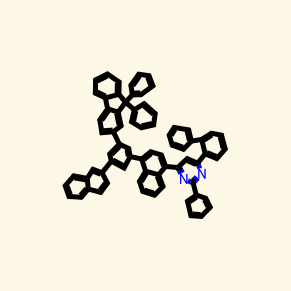 c1ccc(-c2nc(-c3ccccc3-c3ccccc3)cc(-c3ccc(-c4cc(-c5ccc6c(c5)C(c5ccccc5)(c5ccccc5)c5ccccc5-6)cc(-c5ccc6ccccc6c5)c4)c4ccccc34)n2)cc1